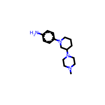 CN1CCN(C2CCCN(c3ccc(N)cc3)C2)CC1